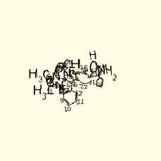 CC(=O)N(F)C([C@H](c1ccccc1)C1CCC(O)(C(N)=O)CC1)(N(F)C(C)=O)N(F)C(C)=O